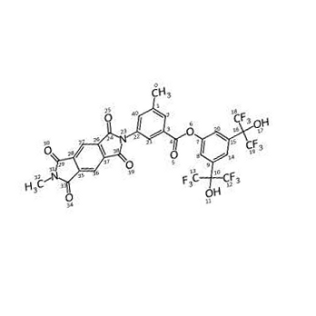 Cc1cc(C(=O)Oc2cc(C(O)(C(F)(F)F)C(F)(F)F)cc(C(O)(C(F)(F)F)C(F)(F)F)c2)cc(-n2c(=O)c3cc4c(=O)n(C)c(=O)c4cc3c2=O)c1